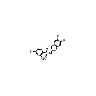 [O]c1cc2c(cc1Br)CC(NS(=O)(=O)c1ccc(Br)cc1C(F)(F)F)C2